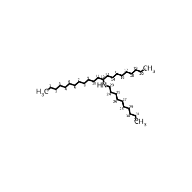 CCCCCCCCCCCCC(CCCCCCCCC)NCCCCCCCCCC